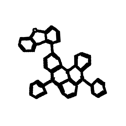 c1ccc(N2c3ccccc3B3c4cc(-c5cccc6oc7ccccc7c56)ccc4N(c4ccccc4)c4cccc2c43)cc1